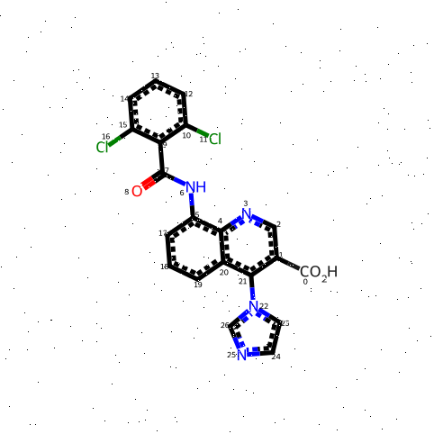 O=C(O)c1cnc2c(NC(=O)c3c(Cl)cccc3Cl)cccc2c1-n1ccnc1